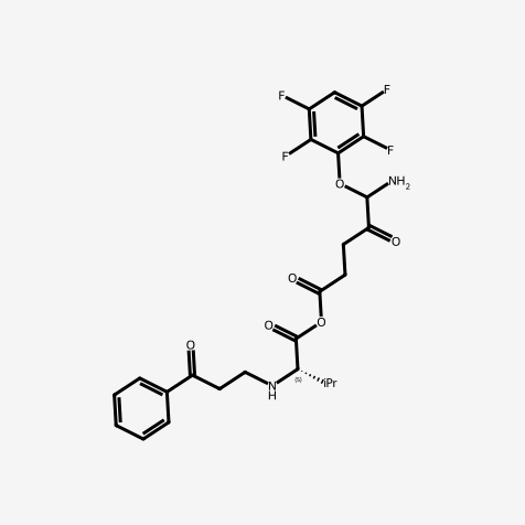 CC(C)[C@H](NCCC(=O)c1ccccc1)C(=O)OC(=O)CCC(=O)C(N)Oc1c(F)c(F)cc(F)c1F